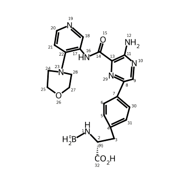 BN[C@H](Cc1ccc(-c2cnc(N)c(C(=O)Nc3cnccc3N3CCOCC3)n2)cc1)C(=O)O